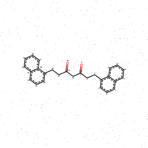 O=C(CCc1cccc2ccccc12)CC(=O)CCc1cccc2ccccc12